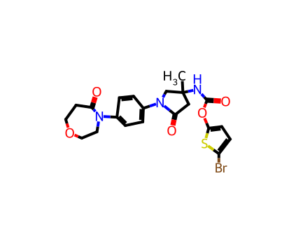 CC1(NC(=O)Oc2ccc(Br)s2)CC(=O)N(c2ccc(N3CCOCCC3=O)cc2)C1